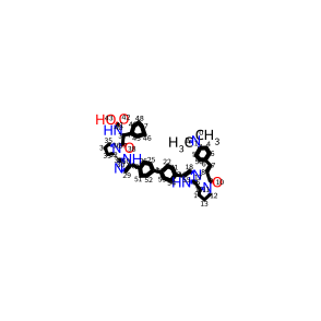 CN(C)c1ccc(/C=C/C(=O)N2CCCC2c2ncc(-c3ccc(-c4ccc(-c5cnc([C@@H]6CCCN6C(=O)[C@H](NC(=O)O)c6ccccc6)[nH]5)cc4)cc3)[nH]2)cc1